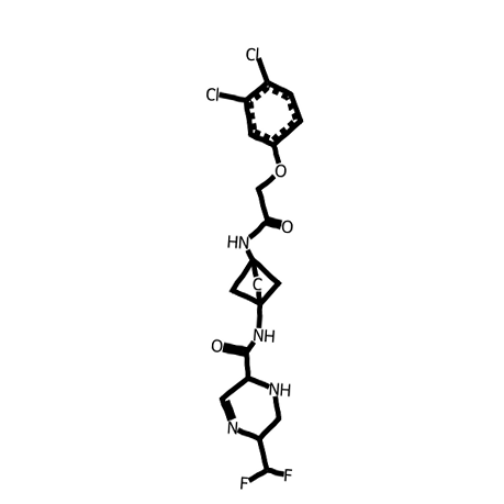 O=C(COc1ccc(Cl)c(Cl)c1)NC12CC(NC(=O)C3C=NC(C(F)F)CN3)(C1)C2